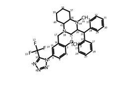 COc1ccc(-n2nnnc2C(F)(F)F)cc1CN1CC(C(c2ccccc2)c2ccccc2)N(C)C2CCCCC21